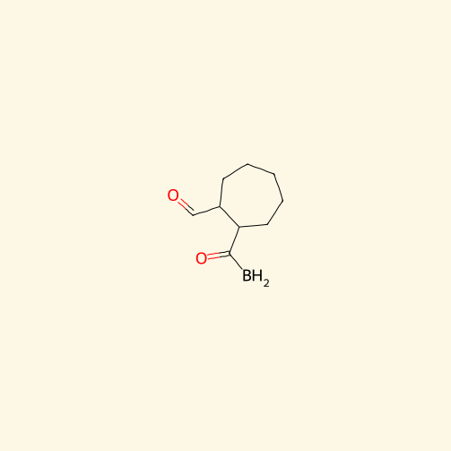 BC(=O)C1CCCCCC1C=O